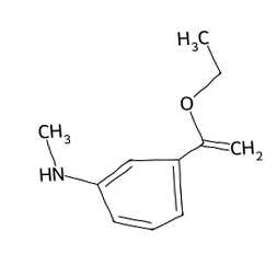 C=C(OCC)c1cccc(NC)c1